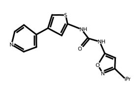 CC(C)c1cc(NC(=O)Nc2cc(-c3ccncc3)cs2)on1